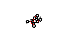 c1ccc(-c2cc(-c3cccc4c3-c3c(-c5cccc6ncccc56)cccc3C43c4ccccc4Oc4ccccc43)nc(-c3ccccc3)n2)cc1